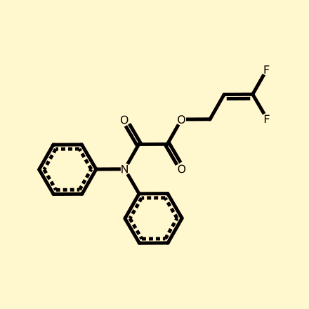 O=C(OCC=C(F)F)C(=O)N(c1ccccc1)c1ccccc1